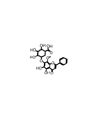 COc1c(OC2CC(C(=O)O)C(O)C(O)C2O)c(O)c(O)c2c(=O)cc(-c3ccccc3)oc12